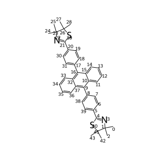 CC1(C)N=C(c2ccc(-c3c4ccccc4c(-c4ccc(C5=NC(C)(C)C(C)(C)S5)cc4)c4ccccc34)cc2)SC1(C)C